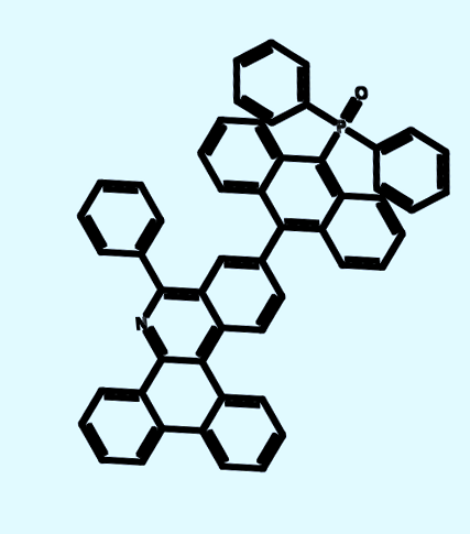 O=P(c1ccccc1)(c1ccccc1)c1c2ccccc2c(-c2ccc3c(c2)c(-c2ccccc2)nc2c4ccccc4c4ccccc4c32)c2ccccc12